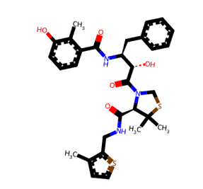 Cc1ccsc1CNC(=O)[C@H]1N(C(=O)[C@@H](O)[C@H](Cc2ccccc2)NC(=O)c2cccc(O)c2C)CSC1(C)C